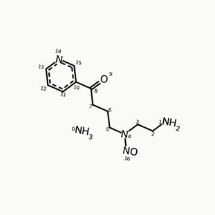 N.NCCN(CCCC(=O)c1cccnc1)N=O